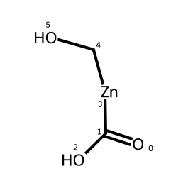 O=[C](O)[Zn][CH2]O